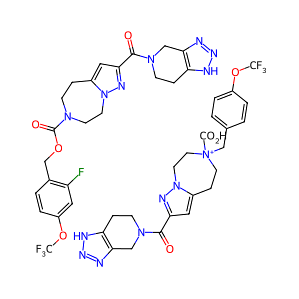 O=C(OCc1ccc(OC(F)(F)F)cc1F)N1CCc2cc(C(=O)N3CCc4[nH]nnc4C3)nn2CC1.O=C(c1cc2n(n1)CC[N+](Cc1ccc(OC(F)(F)F)cc1)(C(=O)O)CC2)N1CCc2[nH]nnc2C1